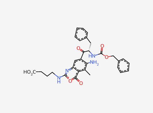 Cc1c(N)c(C(=O)[C@H](Cc2ccccc2)NC(=O)OCc2ccccc2)cc2nc(NCCCC(=O)O)oc(=O)c12